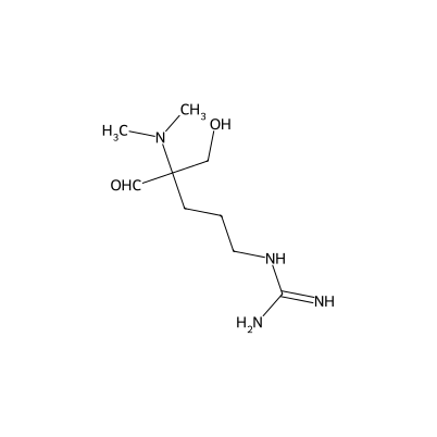 CN(C)C(C=O)(CO)CCCNC(=N)N